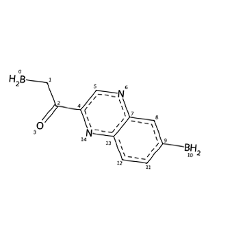 BCC(=O)c1cnc2cc(B)ccc2n1